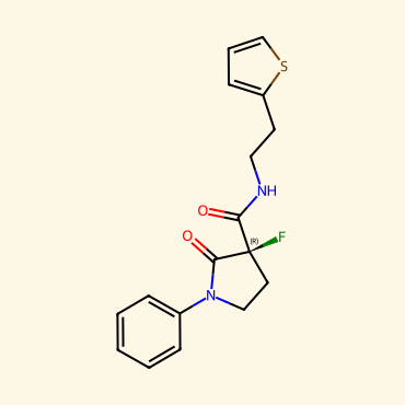 O=C(NCCc1cccs1)[C@]1(F)CCN(c2ccccc2)C1=O